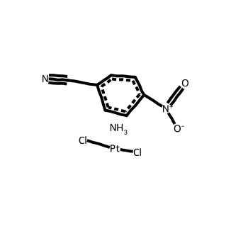 N.N#Cc1ccc([N+](=O)[O-])cc1.[Cl][Pt][Cl]